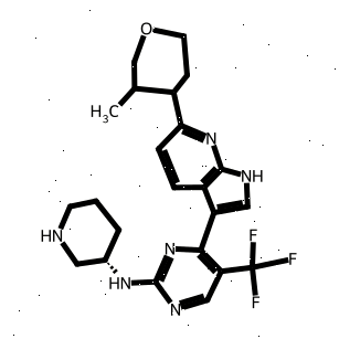 CC1COCCC1c1ccc2c(-c3nc(N[C@H]4CCCNC4)ncc3C(F)(F)F)c[nH]c2n1